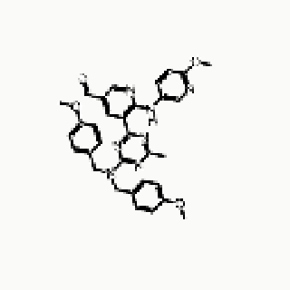 COc1ccc(CN(Cc2ccc(OC)cc2)c2nc(C)nc(-c3cc(C=O)cnc3Nc3ccc(OC)nc3)n2)cc1